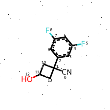 N#CC1(c2cc(F)cc(F)c2)CC(O)C1